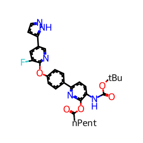 CCCCCC(=O)Oc1nc(-c2ccc(Oc3ncc(-c4ccn[nH]4)cc3F)cc2)ccc1NC(=O)OC(C)(C)C